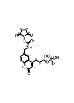 O=C(NCc1ccc2oc(=O)cc(CCCOP(=O)(O)O)c2c1)ON1C(=O)CCC1=O